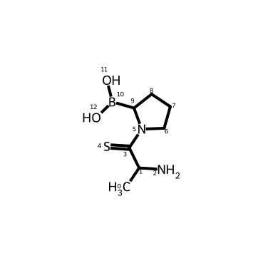 CC(N)C(=S)N1CCCC1B(O)O